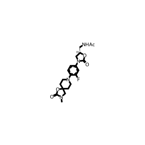 CC(=O)NC[C@H]1CN(c2ccc(N3CCC4(CC3)CN(C)C(=O)O4)c(F)c2)C(=O)O1